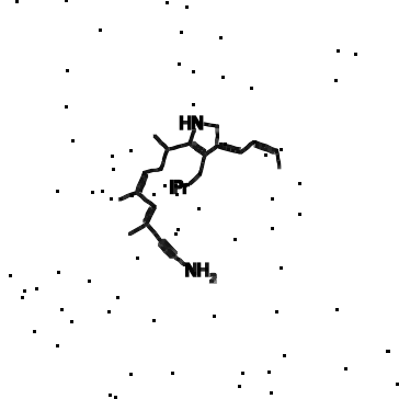 C/C=C\C=C1/CNC(C(C)C/C=C(C)\C=C(/C)C#CN)=C1CC(C)C